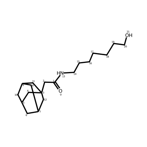 O=C(CC12CC3CC(CC(C3)C1)C2)NCCCCCCCO